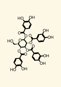 O=C(O[C@@H]1O[C@H](CO)[C@@H](OC(=O)c2ccc(O)c(O)c2)[C@H](OC(=O)c2ccc(O)c(O)c2)[C@H]1OC(=O)c1ccc(O)c(O)c1)c1ccc(O)c(O)c1